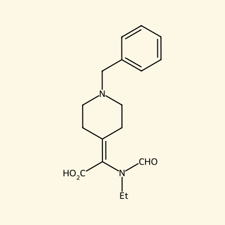 CCN(C=O)C(C(=O)O)=C1CCN(Cc2ccccc2)CC1